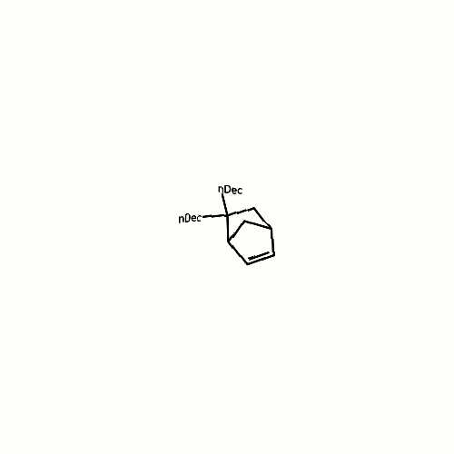 CCCCCCCCCCC1(CCCCCCCCCC)CC2C=CC1C2